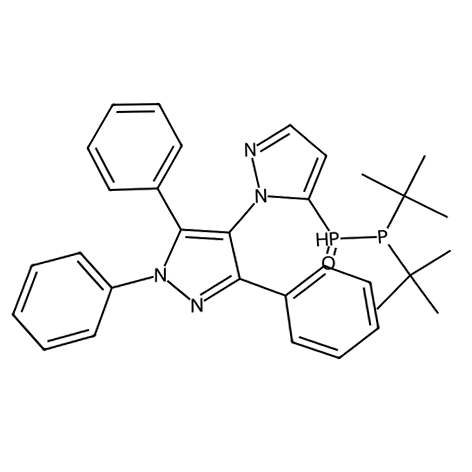 CC(C)(C)P([PH](=O)c1ccnn1-c1c(-c2ccccc2)nn(-c2ccccc2)c1-c1ccccc1)C(C)(C)C